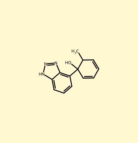 CC1C=CC=CC1(O)c1cccc2[nH]nnc12